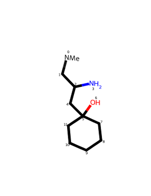 CNCC(N)CC1(O)CCCCC1